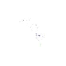 Cc1cc(C(=O)O)ccc1-n1nc(C)c(Cl)c1C